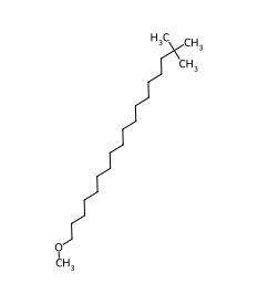 COCCCCCCCCCCCCCCCCC(C)(C)C